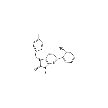 Cc1ccc(Cn2c(=O)n(C)c3nc(-c4ccccc4C#N)ccc32)cc1